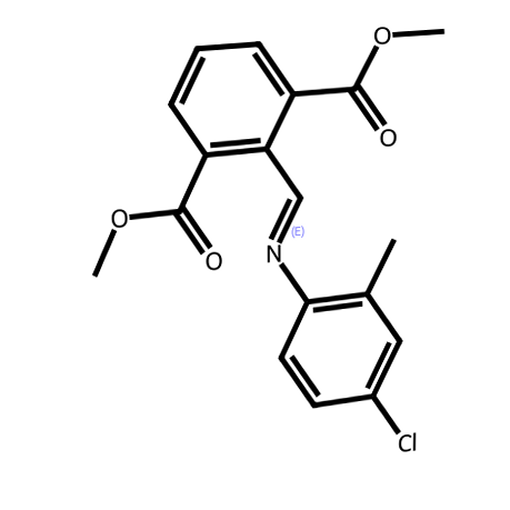 COC(=O)c1cccc(C(=O)OC)c1/C=N/c1ccc(Cl)cc1C